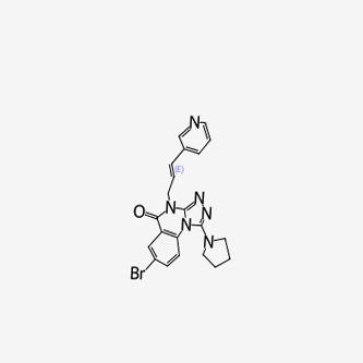 O=c1c2cc(Br)ccc2n2c(N3CCCC3)nnc2n1C/C=C/c1cccnc1